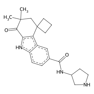 CC1(C)CC2(CCC2)c2c([nH]c3ccc(C(=O)NC4CCNC4)cc23)C1=O